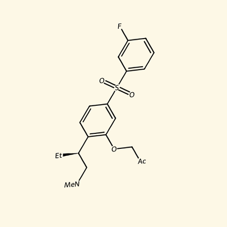 CC[C@H](CNC)c1ccc(S(=O)(=O)c2cccc(F)c2)cc1OCC(C)=O